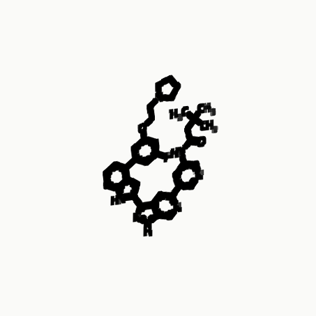 CC(C)(C)CC(=O)Nc1cncc(-c2cc3c(-c4cc5c(-c6cc(F)cc(OCCN7CCCC7)c6)cccc5[nH]4)n[nH]c3cn2)c1